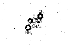 CC(=O)N[C@@H]1CC(N)CC[C@@H]1N1CC[C@H](Nc2ncnc3ccc(C(F)(F)F)cc23)C1=O